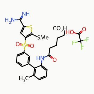 CSc1sc(C(=N)N)cc1S(=O)(=O)c1cccc(-c2c(C)cccc2NC(=O)CCCCC(=O)O)c1.O=C(O)C(F)(F)F